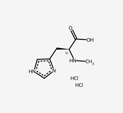 CN[C@@H](Cc1c[nH]cn1)C(=O)O.Cl.Cl